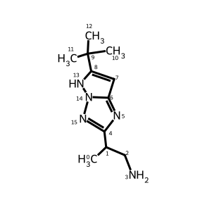 CC(CN)c1nc2cc(C(C)(C)C)[nH]n2n1